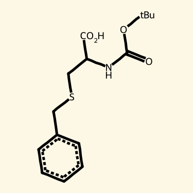 CC(C)(C)OC(=O)NC(CSCc1ccccc1)C(=O)O